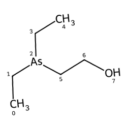 CC[As](CC)CCO